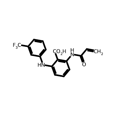 C=CC(=O)Nc1cccc(Nc2cccc(C(F)(F)F)c2)c1C(=O)O